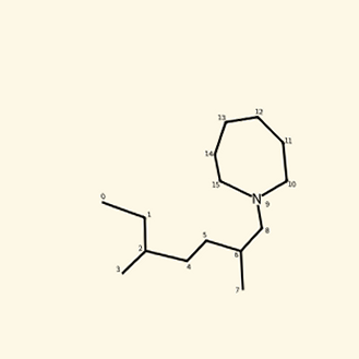 CCC(C)CCC(C)CN1CCCCCC1